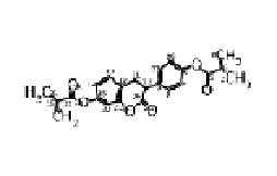 C=C(C)C(=O)Oc1ccc(C2Cc3ccc(OC(=O)C(=C)C)cc3OC2=O)cc1